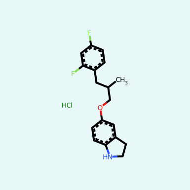 CC(COc1ccc2c(c1)CCN2)Cc1ccc(F)cc1F.Cl